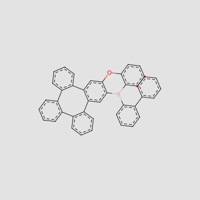 c1ccc(-c2ccccc2B2c3ccccc3Oc3cc4c(cc32)-c2ccccc2-c2ccccc2-c2ccccc2-4)cc1